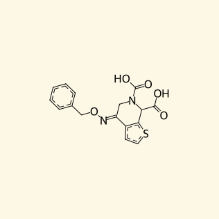 O=C(O)C1c2sccc2C(=NOCc2ccccc2)CN1C(=O)O